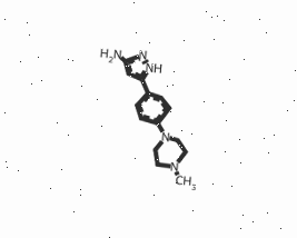 CN1CCN(c2ccc(-c3cc(N)n[nH]3)cc2)CC1